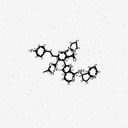 Cc1nnc(-c2c(CCc3ccc(F)cc3)nc3c(c2-c2cc4ccnc(N[C@@H]5CCc6ncccc65)c4s2)c(=O)n2n3CCC2)o1